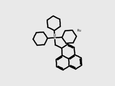 C1=CC(C[PH](C2CCCCC2)(C2CCCCC2)C2CCCCC2)c2cccc3cccc1c23.[Ru]